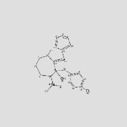 CC1CCCC(N(C)C)C(O)(Cc2ccc(Cl)cc2)C1=Cc1ccccc1